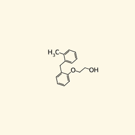 Cc1ccccc1Cc1ccccc1OCCO